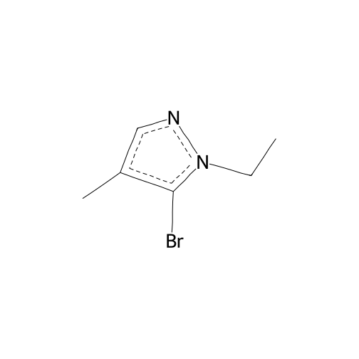 CCn1ncc(C)c1Br